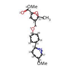 COC(=O)c1cc(COc2ccc(-c3ccc(OC)cn3)cc2)c(C)o1